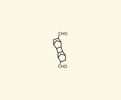 O=CC1CC2CC1C1C2C2C3CC(CC3C=O)C12